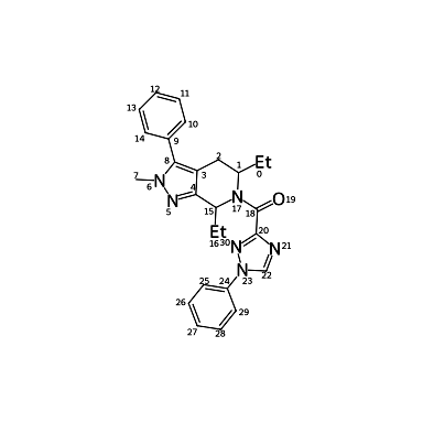 CCC1Cc2c(nn(C)c2-c2ccccc2)C(CC)N1C(=O)c1ncn(-c2ccccc2)n1